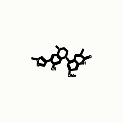 COc1cc(N2CCN(C)c3cc(-c4cnn(C)c4)c(C#N)cc32)c2cc(C)c(=O)[nH]c2c1